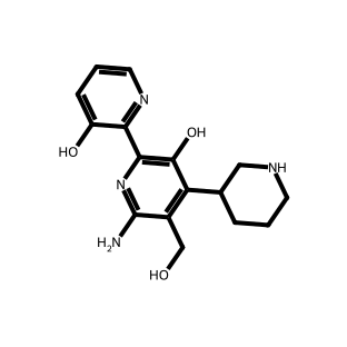 Nc1nc(-c2ncccc2O)c(O)c(C2CCCNC2)c1CO